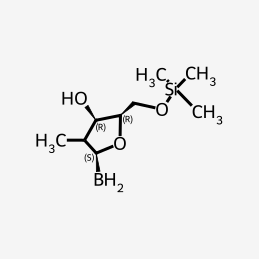 B[C@@H]1O[C@H](CO[Si](C)(C)C)[C@H](O)C1C